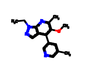 CCn1ncc2c(-c3cncc(C)c3)c(OC)c(C)nc21